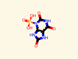 O=c1[nH]c2c(=O)[nH]c(=O)n(P(=O)(O)O)c2[nH]1